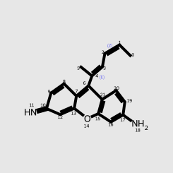 C/C=C\C=C(/C)c1c2ccc(=N)cc-2oc2cc(N)ccc12